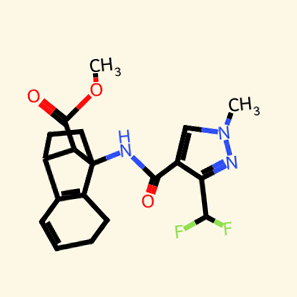 COC(=O)C1C2CCC1(NC(=O)c1cn(C)nc1C(F)F)C1=C2C=CCC1